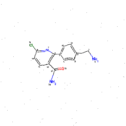 NCc1ccc(-c2nc(Cl)ccc2C(N)=O)cc1